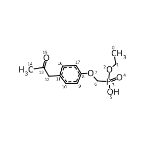 CCOP(=O)(O)COc1ccc(CC(C)=O)cc1